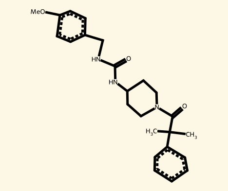 COc1ccc(CNC(=O)NC2CCN(C(=O)C(C)(C)c3ccccc3)CC2)cc1